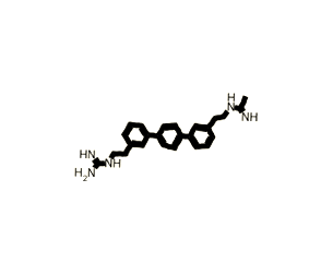 CC(=N)NCCc1cccc(-c2ccc(-c3cccc(CCNC(=N)N)c3)cc2)c1